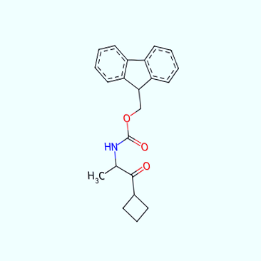 CC(NC(=O)OCC1c2ccccc2-c2ccccc21)C(=O)C1CCC1